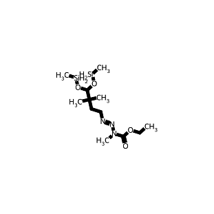 CCOC(=O)N(C)N=NCCC(C)(C)C(O[SiH2]C)O[SiH2]C